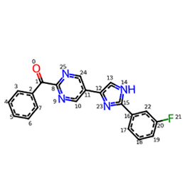 O=C(c1ccccc1)c1ncc(-c2c[nH]c(-c3cccc(F)c3)n2)cn1